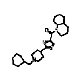 O=C(c1csc(C2CCN(CC3CCCCC3)CC2)n1)N1CCCC2CCCCC21